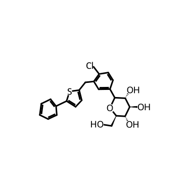 OC[C@H]1OC(c2ccc(Cl)c(Cc3ccc(-c4ccccc4)s3)c2)[C@H](O)[C@@H](O)[C@@H]1O